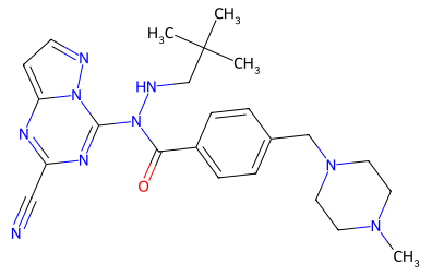 CN1CCN(Cc2ccc(C(=O)N(NCC(C)(C)C)c3nc(C#N)nc4ccnn34)cc2)CC1